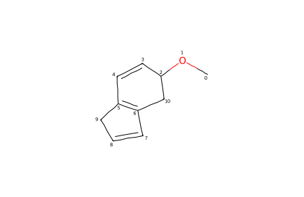 COC1C=CC2=C(C=CC2)C1